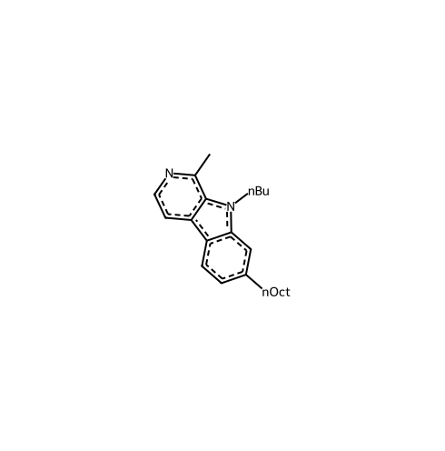 CCCCCCCCc1ccc2c3ccnc(C)c3n(CCCC)c2c1